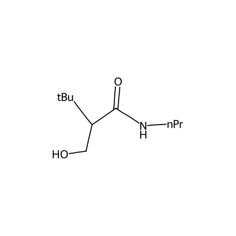 CCCNC(=O)C(CO)C(C)(C)C